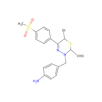 CCC1SC(C=O)N(Cc2ccc(N)cc2)N=C1c1ccc(S(C)(=O)=O)cc1